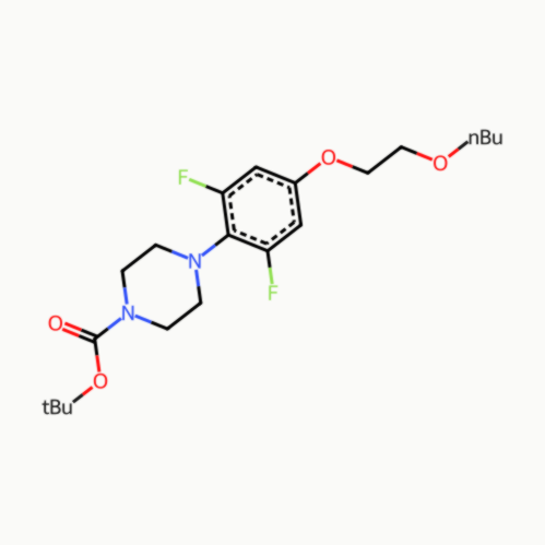 CCCCOCCOc1cc(F)c(N2CCN(C(=O)OC(C)(C)C)CC2)c(F)c1